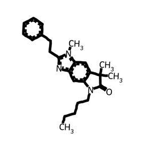 CCCCCN1C(=O)C(C)(C)c2cc3c(cc21)nc(CCc1ccccc1)n3C